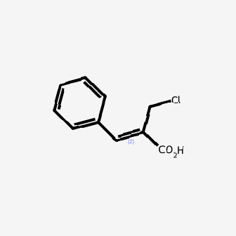 O=C(O)/C(=C/c1ccccc1)CCl